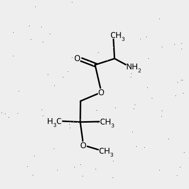 COC(C)(C)COC(=O)C(C)N